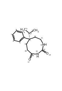 CN(C)[C@]1(c2ccccc2)CCNC(=O)NC(=O)CC1